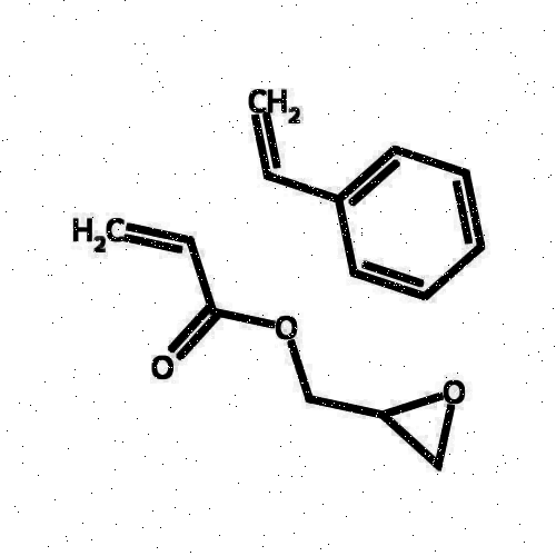 C=CC(=O)OCC1CO1.C=Cc1ccccc1